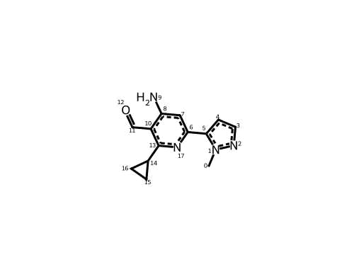 Cn1nccc1-c1cc(N)c(C=O)c(C2CC2)n1